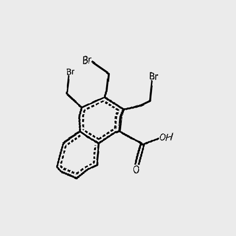 O=C(O)c1c(CBr)c(CBr)c(CBr)c2ccccc12